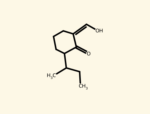 CCC(C)C1CCCC(=CO)C1=O